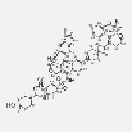 CC1(O)CCC(CNc2ccc(S(=O)(=O)NC(=O)c3ccc(N4CCC5(CC4)CC(N4CCOC[C@H]4c4ccccc4OC(F)(F)F)C5)cc3N3c4cc5cc[nH]c5nc4O[C@H]4COCC[C@@H]43)cc2[N+](=O)[O-])CC1